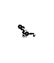 CN(C)CC#Cc1ccc2/c(=N\O)cc(-c3cc4ccccc4cn3)oc2c1